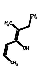 C/C=C\C(O)=C(/C)CC